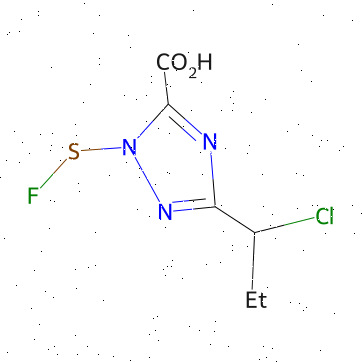 CCC(Cl)c1nc(C(=O)O)n(SF)n1